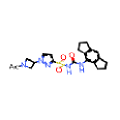 CC(=O)N1CC(n2ccc(S(=O)(=O)NC(=O)Nc3c4c(cc5c3CCC5)CCC4)n2)C1